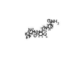 COc1ccc(C(=O)Nc2cncc(C(F)(F)F)c2)cc1C1CCN(c2ccnc(C(N)=O)c2)C1